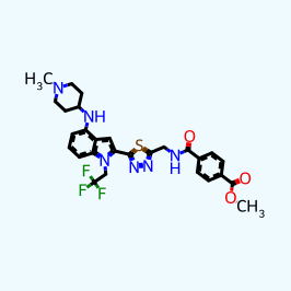 COC(=O)c1ccc(C(=O)NCc2nnc(-c3cc4c(NC5CCN(C)CC5)cccc4n3CC(F)(F)F)s2)cc1